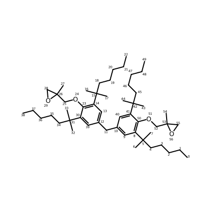 CCCCCC(C)(C)c1cc(Cc2cc(C(C)(C)CCCCC)c(OCC3(C)CO3)c(C(C)(C)CCCCC)c2)cc(C(C)(C)CCCCC)c1OCC1(C)CO1